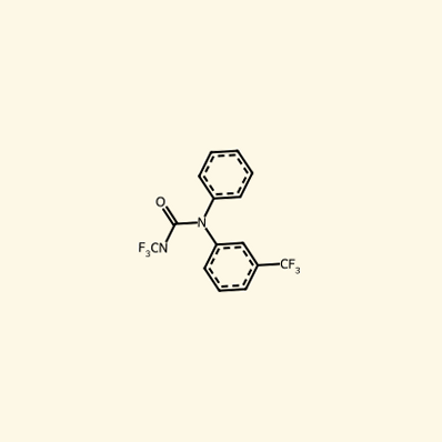 O=C(NC(F)(F)F)N(c1ccccc1)c1cccc(C(F)(F)F)c1